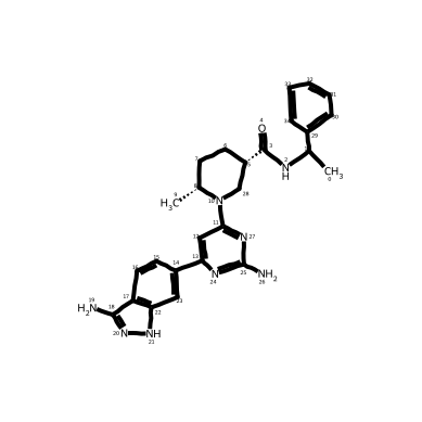 CC(NC(=O)[C@H]1CC[C@@H](C)N(c2cc(-c3ccc4c(N)n[nH]c4c3)nc(N)n2)C1)c1ccccc1